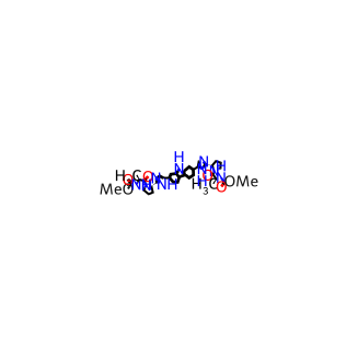 COC(=O)N[C@@H](C)C(=O)N1CCC[C@H]1c1ncc(-c2ccc3c(c2)[nH]c2cc(-c4cnc([C@@H]5CCCN5C(=O)[C@H](C)NC(=O)OC)[nH]4)ccc23)[nH]1